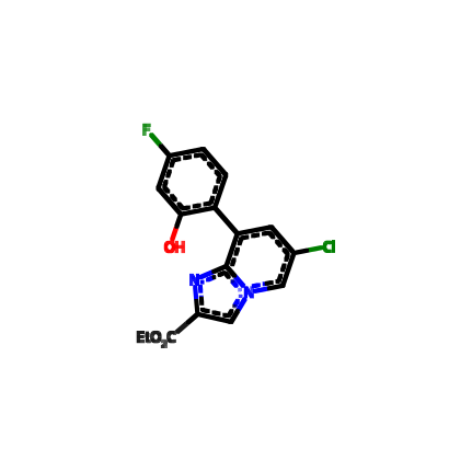 CCOC(=O)c1cn2cc(Cl)cc(-c3ccc(F)cc3O)c2n1